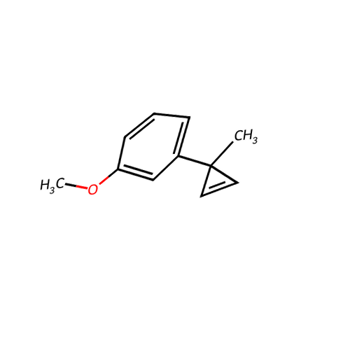 COc1cccc(C2(C)C=C2)c1